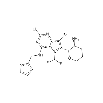 N[C@H]1CCCO[C@@H]1c1c(Br)c2nc(Cl)nc(NCc3cccs3)c2n1C(F)F